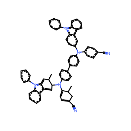 CC1CC(C#N)=CC=C1N(c1ccc(-c2ccc(N(c3ccc(C#N)cc3)c3ccc4c(c3)c3ccccc3n4-c3ccccc3)cc2)cc1)C1C=c2c(n(-c3ccccc3)c3ccccc23)=CC1C